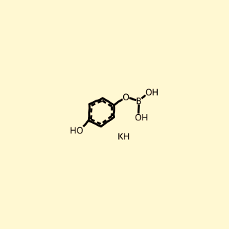 OB(O)Oc1ccc(O)cc1.[KH]